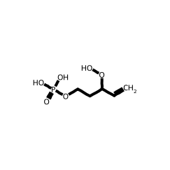 C=CC(CCOP(=O)(O)O)OO